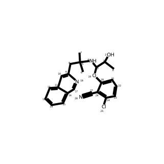 CC(O)C(NC(C)(C)Cc1cc2ccccc2cn1)Oc1cccc(Cl)c1C#N